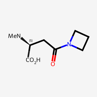 CN[C@@H](CC(=O)N1CCC1)C(=O)O